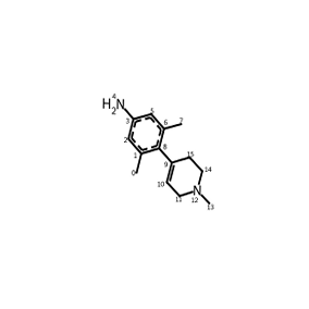 Cc1cc(N)cc(C)c1C1=CCN(C)CC1